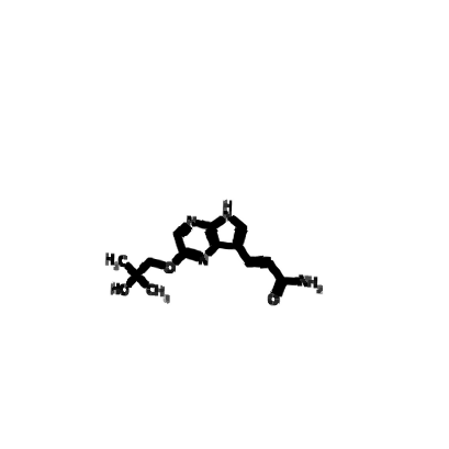 CC(C)(O)COc1cnc2[nH]cc(/C=C/C(N)=O)c2n1